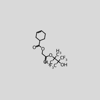 CC(C)(OC(=O)COC(=O)C1CC=CCC1)C(O)(C(F)(F)F)C(F)(F)F